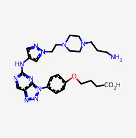 NCCCN1CCN(CCn2cc(Nc3ncc4nnn(-c5ccc(OCCCC(=O)O)cc5)c4n3)cn2)CC1